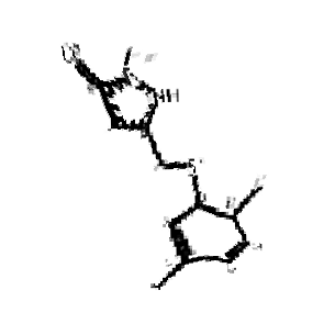 CC1=CC(SCc2cc(=O)[nH][nH]2)C(C)C=C1